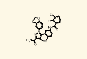 NC(=O)c1nn(-c2ccc3c(c2)OCO3)c2c1COc1ccc(NC(=O)c3cccc(Cl)c3Cl)cc1-2